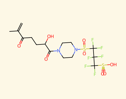 C=C(C)C(=O)CCC(O)C(=O)N1CCN(S(=O)(=O)C(F)(F)C(F)(F)C(F)(F)S(=O)(=O)O)CC1